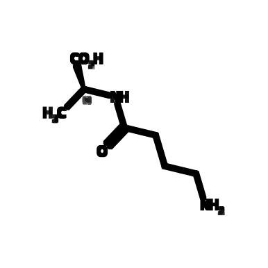 C[C@H](NC(=O)CCCN)C(=O)O